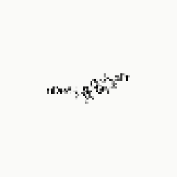 CCCCCCCCCCCCc1ccc(C(=O)OC2CCC(CCC)CC2)s1